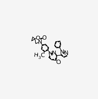 Cc1cc(N2CC3(CC3)OC2=O)ccc1-n1ccc(=O)c(-c2ccnn2-c2ccccc2)n1